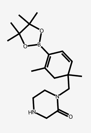 CC1=C(B2OC(C)(C)C(C)(C)O2)C=CC(C)(CN2CCNCC2=O)C1